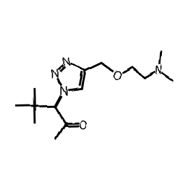 CC(=O)C(n1cc(COCCN(C)C)nn1)C(C)(C)C